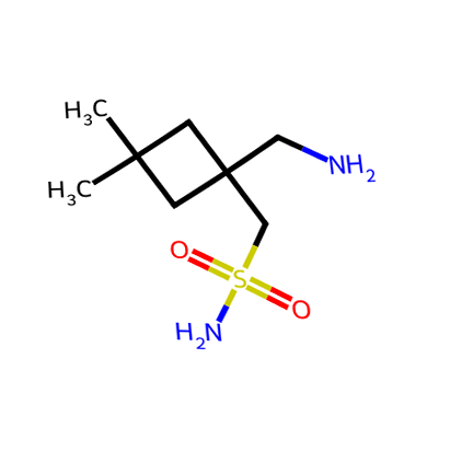 CC1(C)CC(CN)(CS(N)(=O)=O)C1